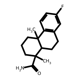 CC1(C(N)=O)CCCC2(C)c3ccc(F)cc3CCC12